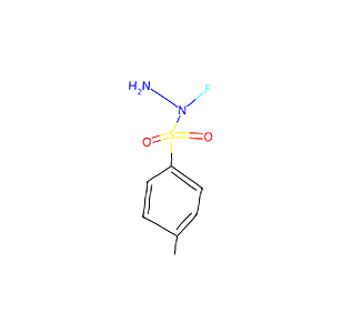 Cc1ccc(S(=O)(=O)N(N)F)cc1